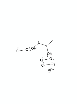 CC(O)CO.[Al+3].[O-]Cl.[O-]Cl.[O-]Cl